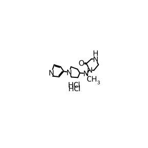 CN(C1CCN(c2ccncc2)CC1)N1CCNCC1=O.Cl.Cl